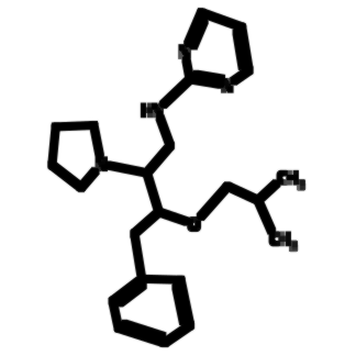 CC(C)COC(Cc1ccccc1)C(CNc1ncccn1)N1CCCC1